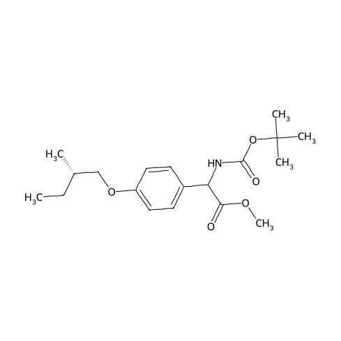 CC[C@H](C)COc1ccc(C(NC(=O)OC(C)(C)C)C(=O)OC)cc1